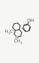 CN1CC[C@]2(c3cccc(O)c3)CCCC[C@]2(C)C1